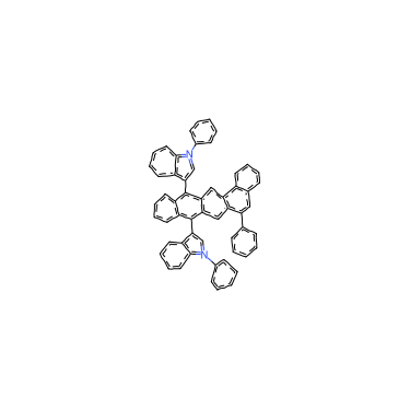 c1ccc(-c2cc3ccccc3c3cc4c(-c5cn(-c6ccccc6)c6ccccc56)c5ccccc5c(-c5cn(-c6ccccc6)c6ccccc56)c4cc23)cc1